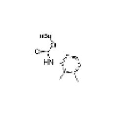 CCCCOC(=O)Nc1cccc(C)c1C